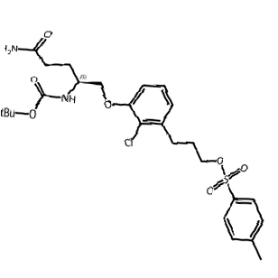 Cc1ccc(S(=O)(=O)OCCCc2cccc(OC[C@H](CCC(N)=O)NC(=O)OC(C)(C)C)c2Cl)cc1